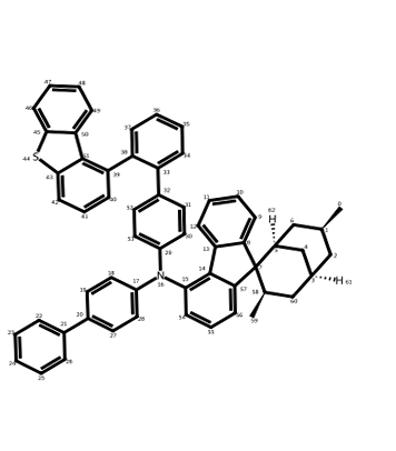 C[C@H]1C[C@@H]2C[C@H](C1)C1(c3ccccc3-c3c(N(c4ccc(-c5ccccc5)cc4)c4ccc(-c5ccccc5-c5cccc6sc7ccccc7c56)cc4)cccc31)[C@H](C)C2